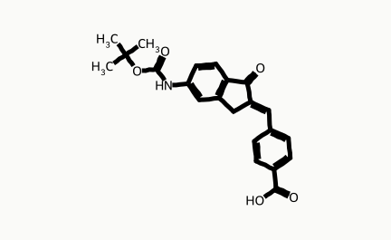 CC(C)(C)OC(=O)Nc1ccc2c(c1)C/C(=C\c1ccc(C(=O)O)cc1)C2=O